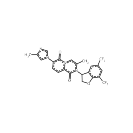 Cc1cn(-c2ccc3c(=O)n(C4COc5c4cc(C(F)(F)F)cc5C(F)(F)F)c(C)cn3c2=O)cn1